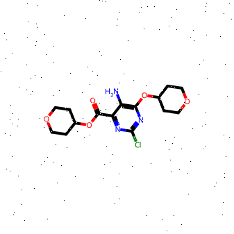 Nc1c(OC2CCOCC2)nc(Cl)nc1C(=O)OC1CCOCC1